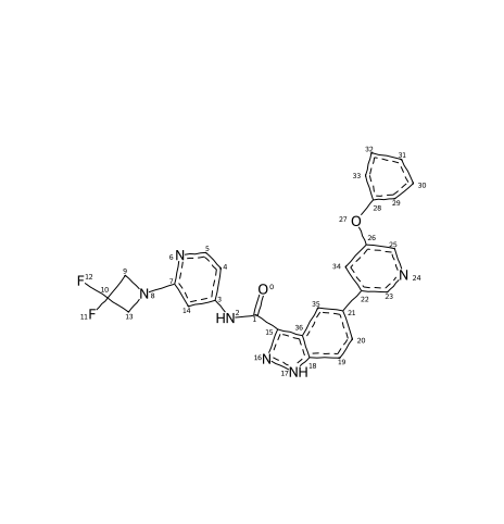 O=C(Nc1ccnc(N2CC(F)(F)C2)c1)c1n[nH]c2ccc(-c3cncc(Oc4ccccc4)c3)cc12